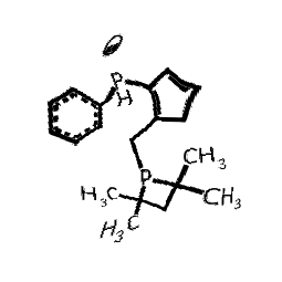 CC1(C)CC(C)(C)P1CC1=C([PH](=O)c2ccccc2)C=CC1